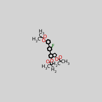 C=C(C)C(=O)Oc1cccc(-c2ccc(-c3ccc(OC(=O)C(=C)C)c4c3CCC4OC(=O)C(=C)C)cc2F)c1